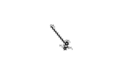 CCCCCCCCCCCCCCCCCCc1c(C)cccc1[SiH2]C1=C(CC)C=CC1